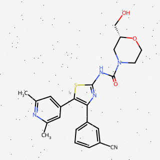 Cc1cc(-c2sc(NC(=O)N3CCO[C@@H](CO)C3)nc2-c2cccc(C#N)c2)cc(C)n1